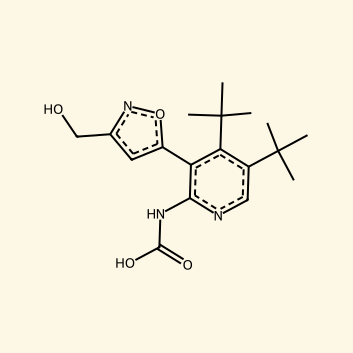 CC(C)(C)c1cnc(NC(=O)O)c(-c2cc(CO)no2)c1C(C)(C)C